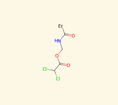 CCC(=O)NCOC(=O)C(Cl)Cl